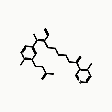 C=C/C(CCCCCC(=C)c1cnccc1C)=C(\C)c1ccc(C)c(CCC(=C)C)c1